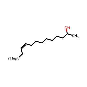 CCCCCCCC/C=C\CCCCCCCC(C)O